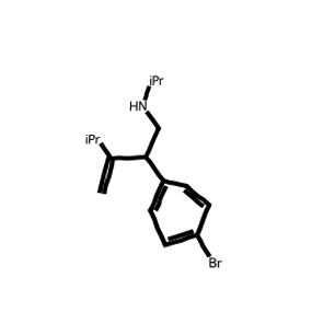 C=C(C(C)C)C(CNC(C)C)c1ccc(Br)cc1